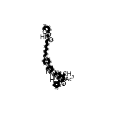 CC(=O)c1c(C)c2cnc(Nc3ccc(N4CCN(CCCCCCCC(=O)NOC5CCCCO5)CC4)cn3)nc2n(C2CCCC2)c1=O